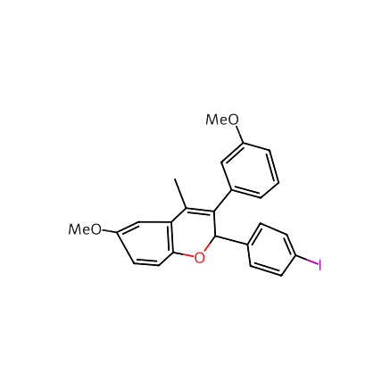 COc1cccc(C2=C(C)c3cc(OC)ccc3OC2c2ccc(I)cc2)c1